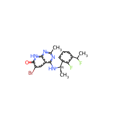 Cc1nc(N[C@H](C)c2cccc(C(C)F)c2F)c2cc(Br)c(=O)[nH]c2n1